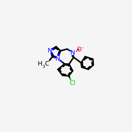 Cc1ncc2n1-c1ccc(Cl)cc1C(c1ccccc1)=[N+]([O-])C2